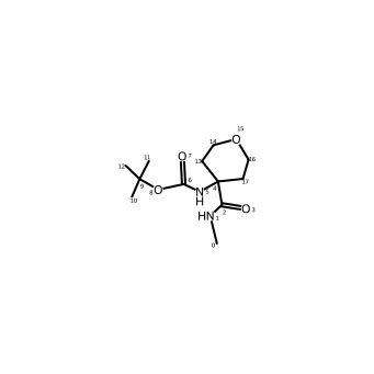 CNC(=O)C1(NC(=O)OC(C)(C)C)CCOCC1